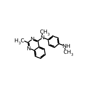 CNc1ccc(N(C)c2nc(C)nc3ccccc23)cc1